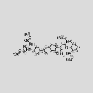 CC(CC(=O)N(Cc1cccc(C(=O)OC(C)(C)C)c1)CC(C)(C)C)c1ccc(OC(=O)c2ccc(N/C(=N\C(=O)OC(C)(C)C)NC(=O)OC(C)(C)C)cc2)cc1Cl